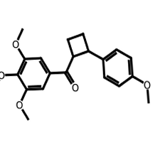 COc1ccc(C2CCC2C(=O)c2cc(OC)c(OC)c(OC)c2)cc1